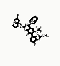 Nc1nc2c(-c3c(SC(F)(F)F)cc4c(N5CC6CCC(C5)N6)nc(OC[C@@]56CCCN5C[C@H](F)C6)nc4c3F)ccc(F)c2s1